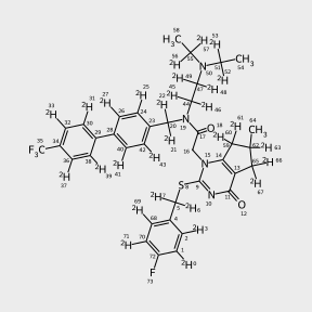 [2H]c1c([2H])c(C([2H])([2H])Sc2nc(=O)c3c(n2CC(=O)N(C([2H])([2H])c2c([2H])c([2H])c(-c4c([2H])c([2H])c(C(F)(F)F)c([2H])c4[2H])c([2H])c2[2H])C([2H])([2H])C([2H])([2H])N(C([2H])([2H])C)C([2H])([2H])C)C([2H])([2H])C([2H])(C)C3([2H])[2H])c([2H])c([2H])c1F